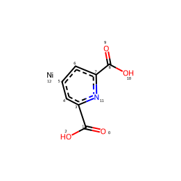 O=C(O)c1cccc(C(=O)O)n1.[Ni]